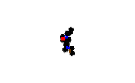 CC1(C)c2ccccc2-c2ccc(N(c3ccccc3)c3ccccc3-c3ccccc3-c3ccc4c(c3)c3ccccc3n4-c3cccc4c3sc3ccccc34)cc21